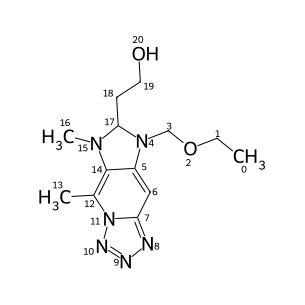 CCOCN1c2cc3nnnn3c(C)c2N(C)C1CCO